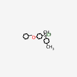 Cc1ccc([Si](C)(Cl)c2ccc(OCc3ccccc3)cc2)cc1